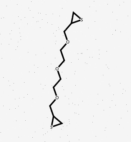 C(COCC1CS1)OCCOCC1CS1